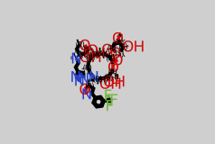 CC[C@H]1OC(=O)[C@H](C)[C@@H](O[C@H]2C[C@@](C)(OC)[C@@H](O)[C@H](C)O2)[C@H](C)[C@@H](O[C@@H]2O[C@H](C)C[C@H](N(C)CCc3cn(C[C@H]4CC(c5cccc(C(F)(F)F)c5)=NO4)nn3)[C@H]2O)[C@](C)(O)C[C@@H](C)CN(C)[C@H](C)[C@@H](O)[C@]1(C)O